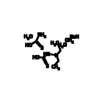 CCN(CC)NC(O)=S.NC(O)=S.O.O.O.[NaH]